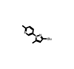 Cc1ccc(-n2nc(C(C)(C)C)cc2C)cn1